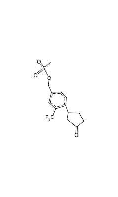 CS(=O)(=O)OCc1ccc(C2CCC(=O)C2)c(C(F)(F)F)c1